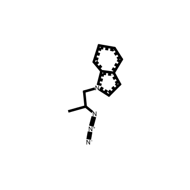 CC(Cn1ccc2ccccc21)N=[N+]=[N-]